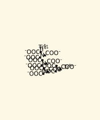 O=C([O-])CN(CC(=O)[O-])CC(=O)[O-].O=C([O-])CN(CC(=O)[O-])CC(=O)[O-].O=C([O-])CN(CC(=O)[O-])CC(=O)[O-].O=C([O-])CN(CC(=O)[O-])CC(=O)[O-].[Ti+4].[Ti+4].[Ti+4]